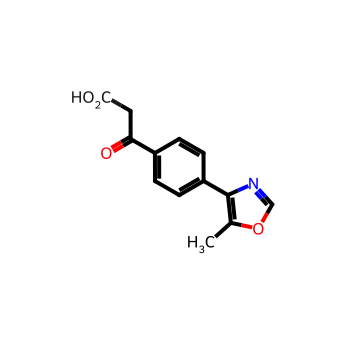 Cc1ocnc1-c1ccc(C(=O)CC(=O)O)cc1